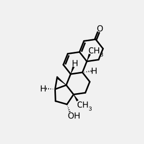 C[C@]12CCC(=O)C=C1C=C[C@@H]1[C@@H]2CC[C@]2(C)[C@H](O)C[C@H]3C[C@@]312